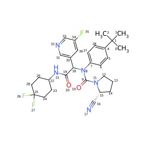 CC(C)(C)c1ccc(N(C(=O)N2CCC[C@@H]2C#N)C(C(=O)NC2CCC(F)(F)CC2)c2cncc(F)c2)cc1